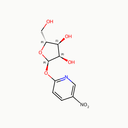 O=[N+]([O-])c1ccc(O[C@H]2O[C@H](CO)[C@@H](O)[C@H]2O)nc1